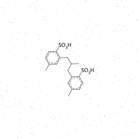 Cc1ccc(S(=O)(=O)O)c(CC(C)Cc2cc(C)ccc2S(=O)(=O)O)c1